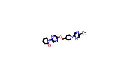 CCc1cnc(N2CCC(COc3cnc(N4CCCCC4=O)cn3)CC2)cn1